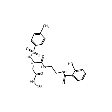 Cc1ccc(S(=O)(=O)N[C@@H](CC(=O)NC(C)(C)C)C(=O)NCCNC(=O)c2ccccc2O)cc1